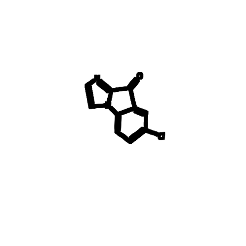 O=C1c2cc(Cl)ccc2-n2ccnc21